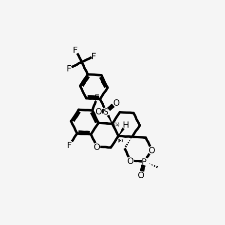 C[P@]1(=O)OC[C@]2(CCC[C@@]3(S(=O)(=O)c4ccc(C(F)(F)F)cc4)c4c(F)ccc(F)c4OC[C@@H]23)CO1